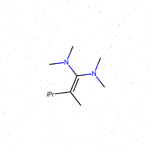 CC(=C(N(C)C)N(C)C)C(C)C